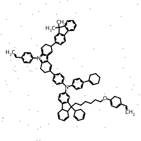 C=CC1=CC=C(OCCCCCCC2(C3C=CC=CC3)c3cc(N(c4ccc(C5=CCCCC5)cc4)c4ccc(C5=Cc6c(n(-c7ccc(C=C)cc7)c7c6=CC(c6ccc8c(c6)C(C)(C)c6ccccc6-8)CC=7)CC5)cc4)ccc3C3C=CC=CC32)CC1